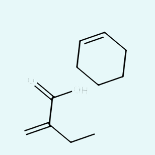 C1=CCCCC1.C=C(CC)C(=O)O